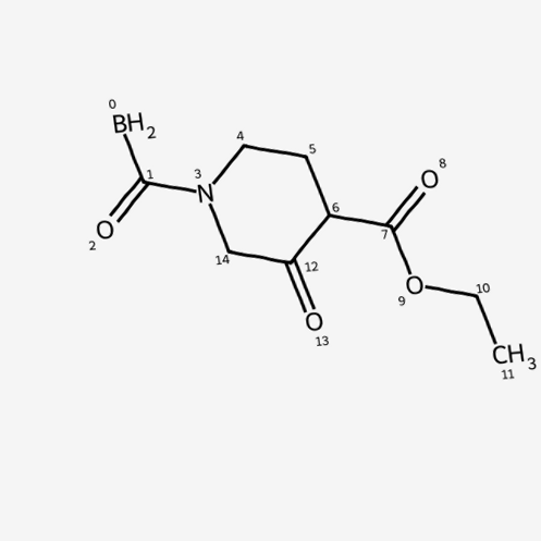 BC(=O)N1CCC(C(=O)OCC)C(=O)C1